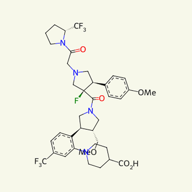 COC[C@H]1CN(C(=O)[C@]2(F)CN(CC(=O)N3CCC[C@@H]3C(F)(F)F)C[C@H]2c2ccc(OC)cc2)C[C@@H]1c1ccc(C(F)(F)F)cc1N1CCC(C(=O)O)CC1